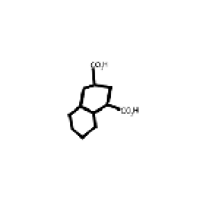 O=C(O)C1CC2CCCCC2C(C(=O)O)C1